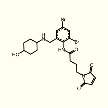 O=C(CCCN1C(=O)C=CC1=O)Nc1c(Br)cc(Br)cc1CNC1CCC(O)CC1